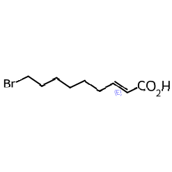 O=C(O)/C=C/CCCCCCBr